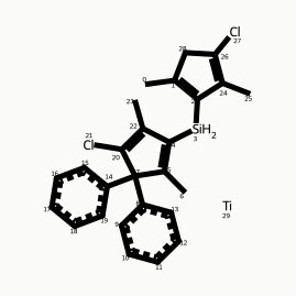 CC1=C([SiH2]C2=C(C)C(c3ccccc3)(c3ccccc3)C(Cl)=C2C)C(C)=C(Cl)C1.[Ti]